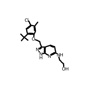 Cc1cc(OCc2n[nH]c3nc(NCCO)ccc23)c(C(C)(C)C)cc1Cl